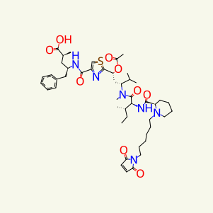 CC[C@H](C)[C@H](NC(=O)[C@H]1CCCCN1CCCCCCN1C(=O)C=CC1=O)C(=O)N(C)[C@H](C[C@@H](OC(C)=O)c1nc(C(=O)N[C@@H](Cc2ccccc2)C[C@H](C)C(=O)O)cs1)C(C)C